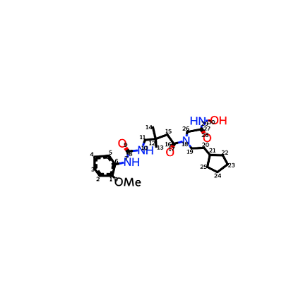 COc1ccccc1NC(=O)NCC(C)(C)CC(=O)N(CCC1CCCC1)CC(=O)NO